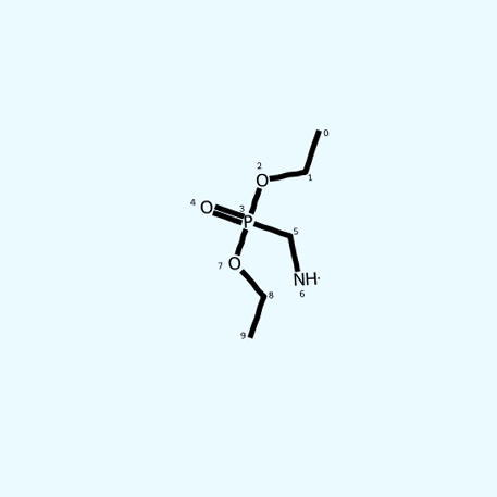 CCOP(=O)(C[NH])OCC